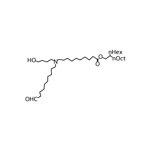 CCCCCCCCC(CCCCCC)COC(=O)CCCCCCCCCN(CCCCO)CCCCCCCCCC=O